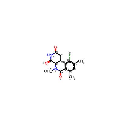 Cc1cc(C)c(C(=O)N(C=O)C2CCC(=O)NC2=O)cc1F